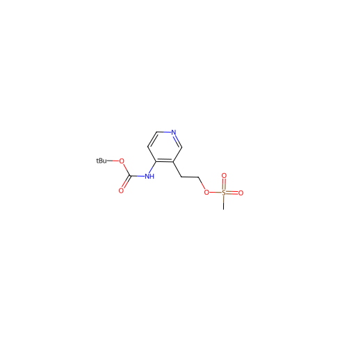 CC(C)(C)OC(=O)Nc1ccncc1CCOS(C)(=O)=O